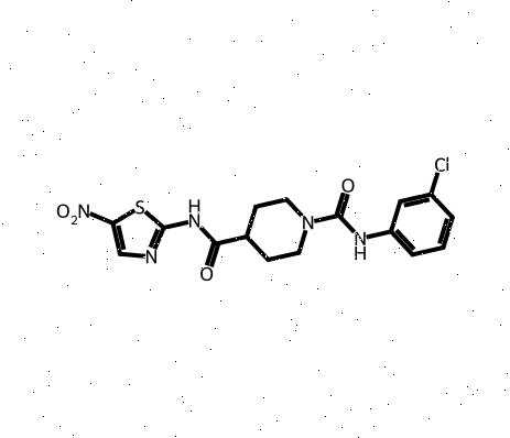 O=C(Nc1ncc([N+](=O)[O-])s1)C1CCN(C(=O)Nc2cccc(Cl)c2)CC1